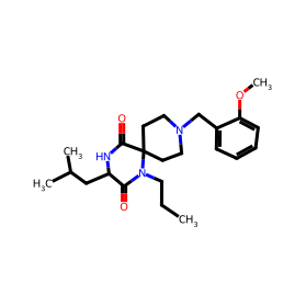 CCCN1C(=O)C(CC(C)C)NC(=O)C12CCN(Cc1ccccc1OC)CC2